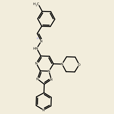 Cc1cccc(/C=N/Nc2cc(N3CCOCC3)n3nc(-c4ccncc4)nc3n2)c1